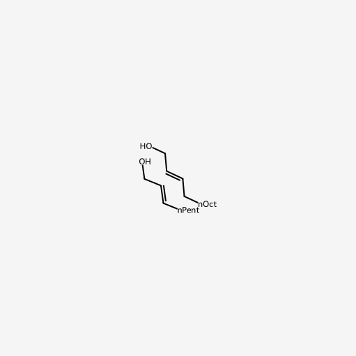 CCCCCC=CCO.CCCCCCCCCC=CCO